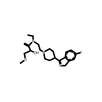 C=C(C(O)COC)N(CC)CCN1CCC(C2=NCc3cc(F)ccc32)CC1